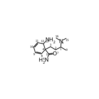 CC(CCC1(C(N)=O)C=CC=CC1N)N(C)C